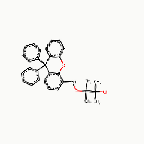 CC(C)(O)C(C)(C)OBc1cccc2c1Oc1ccccc1C2(c1ccccc1)c1ccccc1